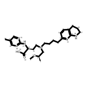 CO[C@H](C)CN(CCCCc1ccc2c(n1)NCCC2)CC[C@H](Nc1ncc(C)cn1)C(=O)O